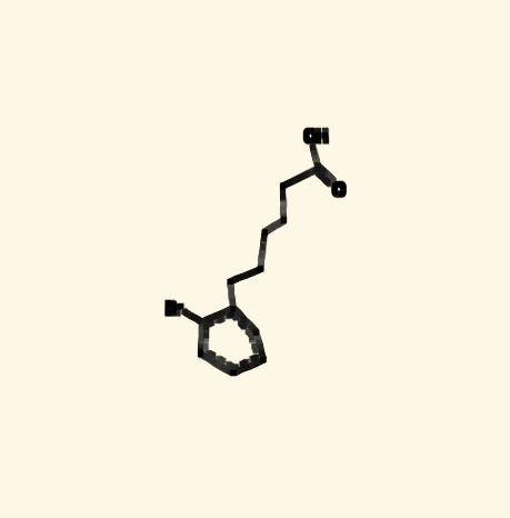 O=C(O)CCCCCc1ccccc1Br